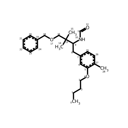 CCCCOc1cc(CC(NC=O)C(C)(C)COCc2ccccc2)ccc1C